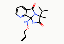 C=CCONC12NC(=O)C(C)(C(C)C)N1C(=O)c1cccnc12